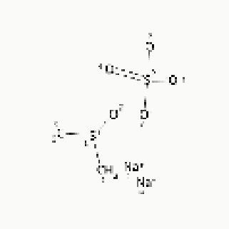 C[S+](C)[O-].O=S(=O)([O-])[O-].[Na+].[Na+]